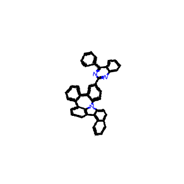 c1ccc(-c2nc(-c3ccc4c(c3)-c3ccccc3-c3cccc5c6c7ccccc7ccc6n-4c35)nc3ccccc23)cc1